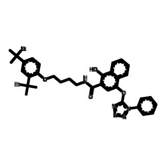 CCC(C)(C)c1ccc(OCCCCNC(=O)c2cc(Oc3nnnn3-c3ccccc3)c3ccccc3c2O)c(C(C)(C)CC)c1